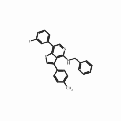 Cc1ccc(-c2csc3c(-c4cccc(F)c4)cnc(NCc4ccccc4)c23)cc1